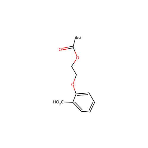 CCC(C)C(=O)OCCOc1ccccc1C(=O)O